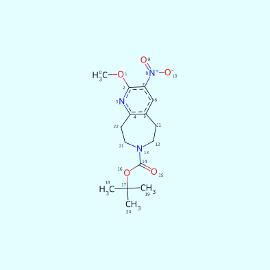 COc1nc2c(cc1[N+](=O)[O-])CCN(C(=O)OC(C)(C)C)CC2